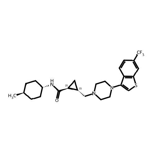 C[C@H]1CC[C@H](NC(=O)[C@H]2C[C@@H]2CN2CCN(c3csc4cc(C(F)(F)F)ccc34)CC2)CC1